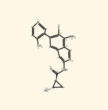 Cc1ccncc1-c1cc2cc(NC(=O)[C@H]3C[C@@H]3C#N)ncc2c(N)c1F